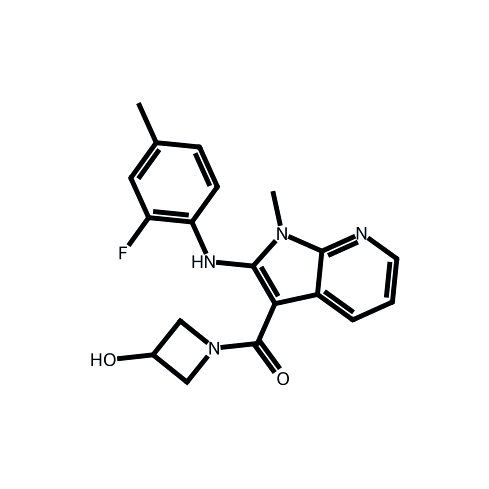 Cc1ccc(Nc2c(C(=O)N3CC(O)C3)c3cccnc3n2C)c(F)c1